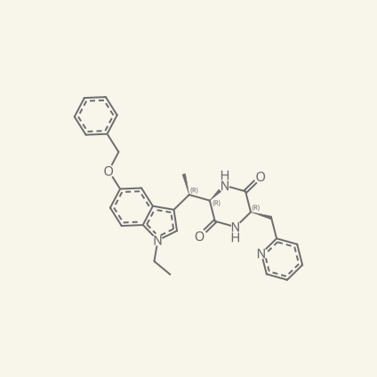 CCn1cc([C@@H](C)[C@H]2NC(=O)[C@@H](Cc3ccccn3)NC2=O)c2cc(OCc3ccccc3)ccc21